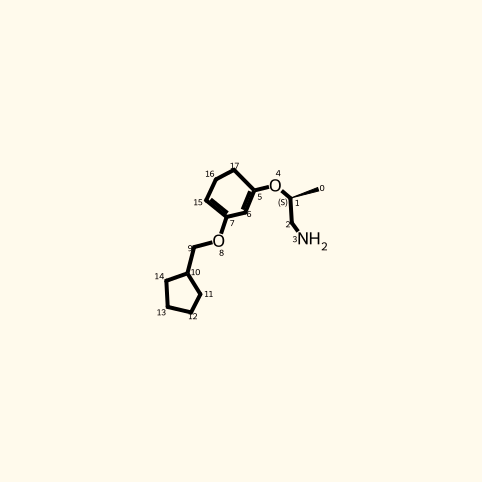 C[C@@H](CN)OC1=CC(OCC2CCCC2)=CCC1